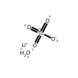 O.[Li+].[O]=[Tc](=[O])(=[O])[O-]